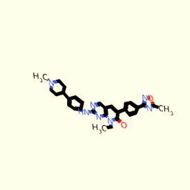 CCn1c(=O)c(-c2ccc(-c3noc(C)n3)cc2)cc2cnc(Nc3ccc(C4CCN(C)CC4)cc3)nc21